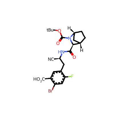 CC(C)(C)OC(=O)N1[C@@H]2CC[C@@H](C2)[C@H]1C(=O)N[C@H](C#N)Cc1cc(C(=O)O)c(Br)cc1F